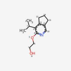 CC(C)c1c(OCCO)ncc2c1CCC2